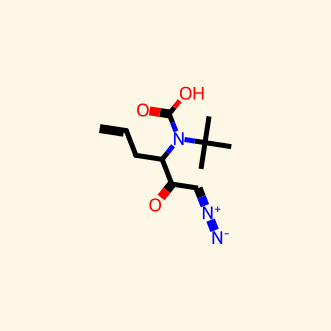 C=CCC(C(=O)C=[N+]=[N-])N(C(=O)O)C(C)(C)C